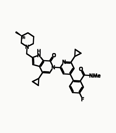 CNC(=O)c1cc(F)ccc1-c1cc(C2CC2)nc(-n2cc(C3CC3)c3cc(CN4CCC[C@H](C)C4)[nH]c3c2=O)c1